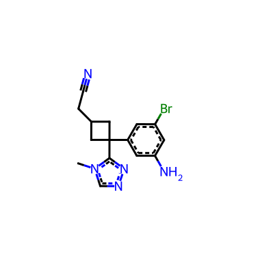 Cn1cnnc1C1(c2cc(N)cc(Br)c2)CC(CC#N)C1